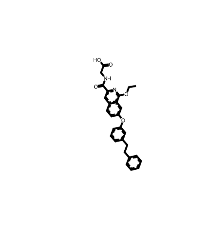 CCOc1nc(C(=O)NCC(=O)O)cc2ccc(Oc3cccc(CCc4ccccc4)c3)cc12